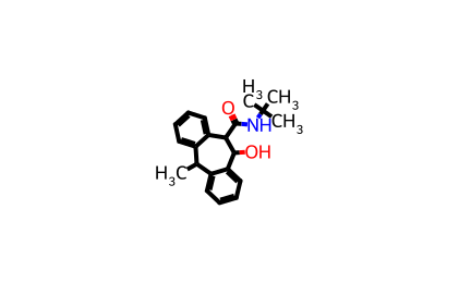 CC1c2ccccc2C(O)C(C(=O)NC(C)(C)C)c2ccccc21